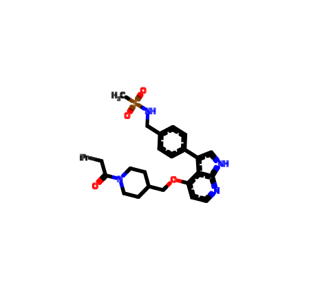 CC(C)CC(=O)N1CCC(COc2ccnc3[nH]cc(-c4ccc(CNS(C)(=O)=O)cc4)c23)CC1